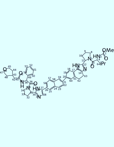 COC(=O)NC(C(=O)N1CCCC1c1nc2c([nH]1)-c1ccc(-c3ccc4cc(-c5cnc(C6CCCN6C(=O)C(NC(=O)CC6CCOCC6)c6ccccc6)[nH]5)ccc4c3)cc1CC2)C(C)C